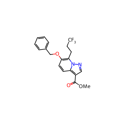 COC(=O)c1cnn2c(CCC(F)(F)F)c(OCc3ccccc3)ccc12